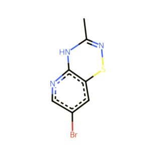 CC1=NSc2cc(Br)cnc2N1